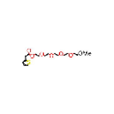 COCCOCCOCCOCCOCCOC(=O)Cc1cccs1